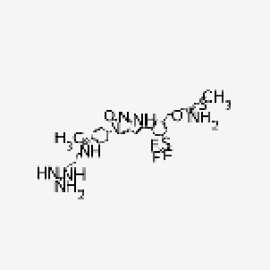 CSC[C@H](N)COCc1cc(SC(F)(F)F)cc(-c2cc3cn(-c4ccc([C@H](C)NCCCNC(=N)N)cc4)c(=O)nc3[nH]2)c1